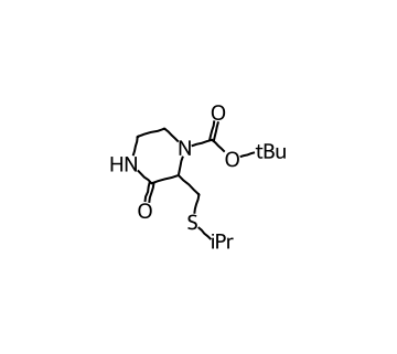 CC(C)SCC1C(=O)NCCN1C(=O)OC(C)(C)C